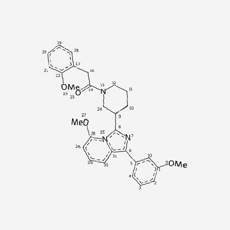 COc1cccc(-c2nc(C3CCCN(C(=O)Cc4ccccc4OC)C3)n3c(OC)cccc23)c1